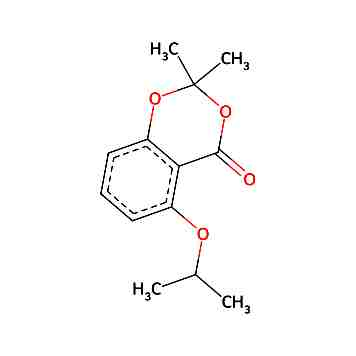 CC(C)Oc1cccc2c1C(=O)OC(C)(C)O2